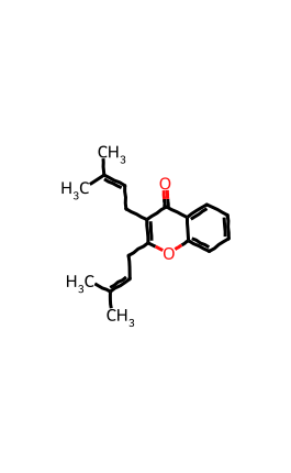 CC(C)=CCc1oc2ccccc2c(=O)c1CC=C(C)C